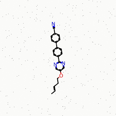 CC=CCCOc1cnc(-c2ccc(-c3ccc(C#N)cc3)cc2)nc1